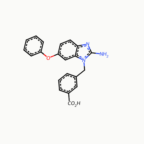 Nc1nc2ccc(Oc3ccccc3)cc2n1Cc1cccc(C(=O)O)c1